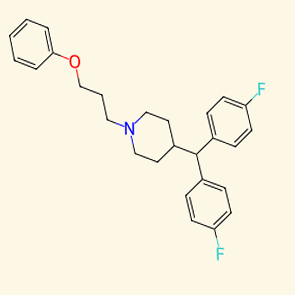 Fc1ccc(C(c2ccc(F)cc2)C2CCN(CCCOc3ccccc3)CC2)cc1